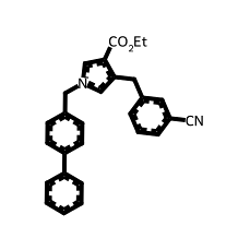 CCOC(=O)c1cn(Cc2ccc(-c3ccccc3)cc2)cc1Cc1cccc(C#N)c1